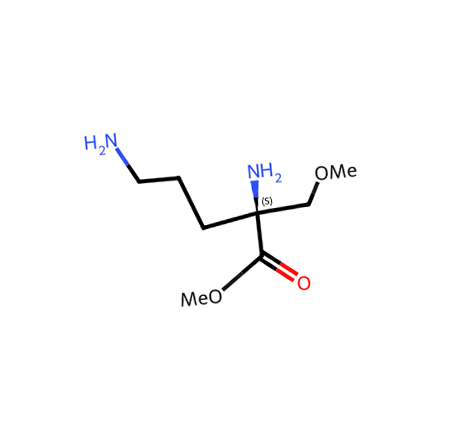 COC[C@@](N)(CCCN)C(=O)OC